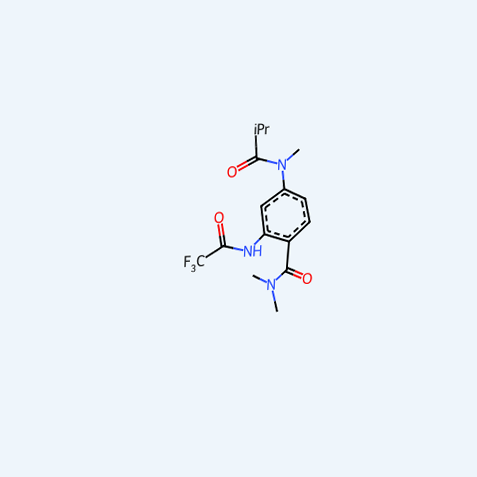 CC(C)C(=O)N(C)c1ccc(C(=O)N(C)C)c(NC(=O)C(F)(F)F)c1